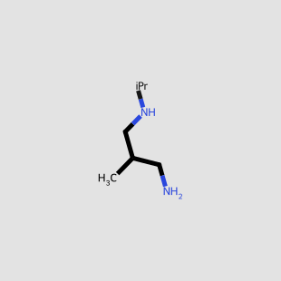 CC(CN)CNC(C)C